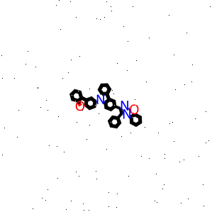 c1ccc(-c2c(-c3ccc4c(c3)c3ccccc3n4-c3ccc4oc5ccccc5c4c3)nc3oc4ccccc4n23)cc1